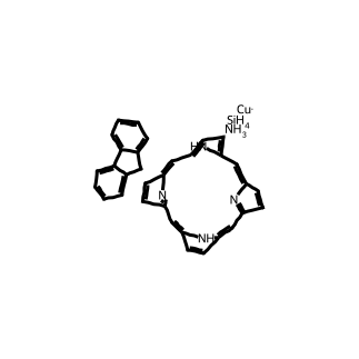 C1=Cc2cc3ccc(cc4nc(cc5ccc(cc1n2)[nH]5)C=C4)[nH]3.N.[Cu].[SiH4].c1ccc2c(c1)Cc1ccccc1-2